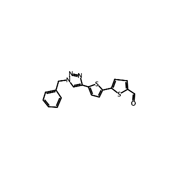 O=Cc1ccc(-c2ccc(-c3cn(Cc4ccccc4)nn3)s2)s1